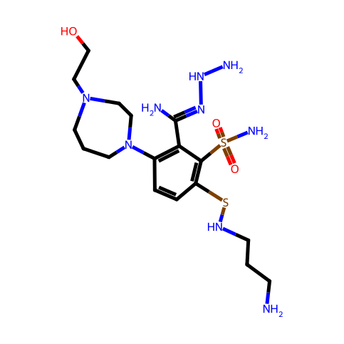 NCCCNSc1ccc(N2CCCN(CCO)CC2)c(/C(N)=N/NN)c1S(N)(=O)=O